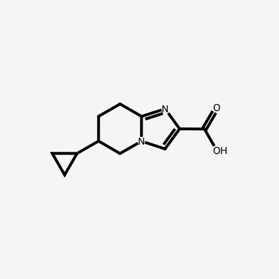 O=C(O)c1cn2c(n1)CCC(C1CC1)C2